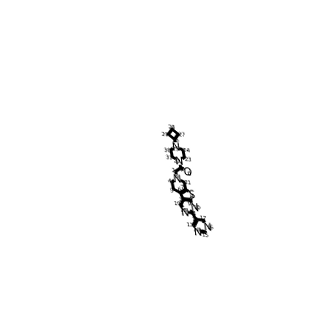 O=C(CN1CCc2c(sc3nc(-c4cncnc4)ncc23)C1)N1CCN(C2CCC2)CC1